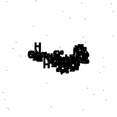 COc1nc(-c2cccc(-c3cccc(Nc4nc(C)nc5cccnc45)c3Cl)c2Cl)ccc1CNCC1CCC(=O)N1